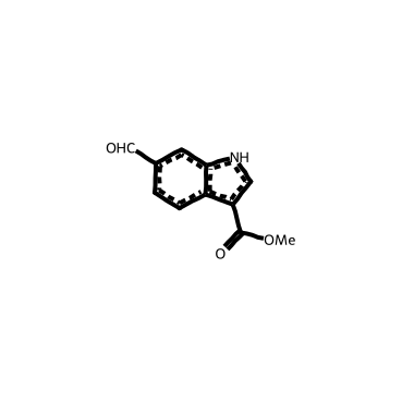 COC(=O)c1c[nH]c2cc(C=O)ccc12